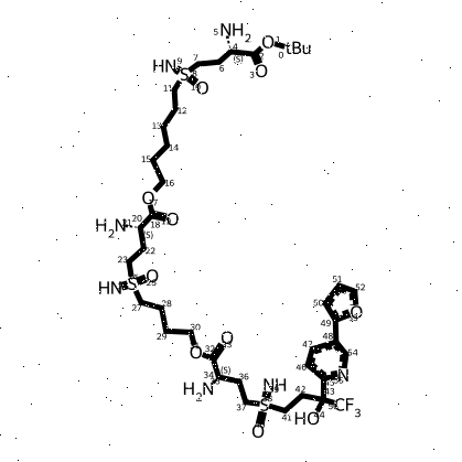 CC(C)(C)OC(=O)[C@@H](N)CCS(=N)(=O)CCCCCCOC(=O)[C@@H](N)CCS(=N)(=O)CCCCOC(=O)[C@@H](N)CCS(=N)(=O)CCC(O)(c1ccc(-c2ccco2)cn1)C(F)(F)F